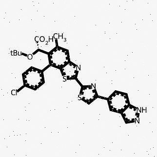 Cc1cc2nc(-c3nc(-c4ccc5[nH]ncc5c4)cs3)sc2c(-c2ccc(Cl)cc2)c1[C@H](OC(C)(C)C)C(=O)O